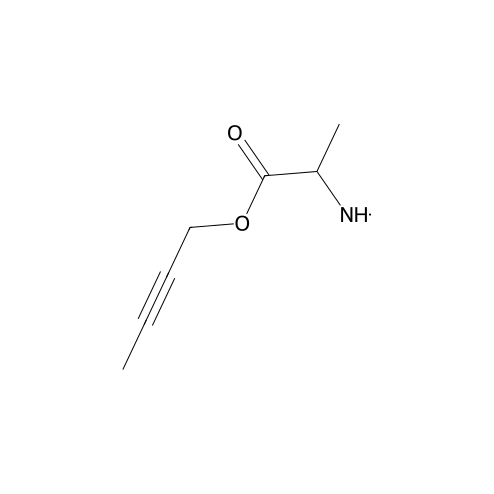 CC#CCOC(=O)C(C)[NH]